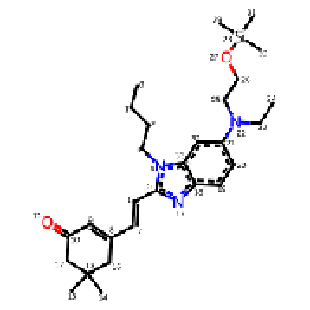 CCCCn1c(/C=C/C2=CC(=O)CC(C)(C)C2)nc2ccc(N(CC)CCO[Si](C)(C)C)cc21